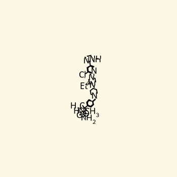 CC[C@H]1CN(c2ncc(C3=NCCN3)cc2Cl)CCN1C1CCN(Cc2ccc(C(C)(C)NS(N)(=O)=O)cc2)CC1